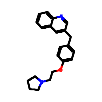 c1ccc2ncc(Cc3ccc(OCCN4CCCC4)cc3)cc2c1